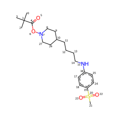 CC(C)(C)C(=O)ON1CCC(CCCCNc2ccc(S(C)(=O)=O)cc2)CC1